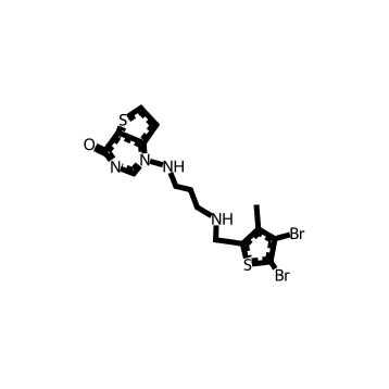 Cc1c(CNCCCNn2cnc(=O)c3sccc32)sc(Br)c1Br